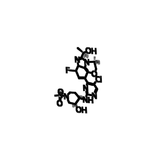 C[C@@H]1COC2=C3C(N=C([C@@H](C)O)N31)C(F)C=C2c1nc(N[C@@H]2CCN(S(C)(=O)=O)C[C@H]2O)ncc1Cl